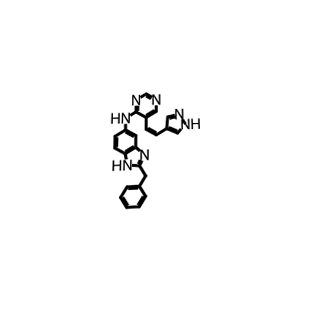 C(=Cc1cncnc1Nc1ccc2[nH]c(Cc3ccccc3)nc2c1)c1cn[nH]c1